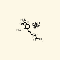 C[C@H](C(N)=O)[N+](C)(C)C/C=C/C1=C(C(=O)O)N2C(=O)[C@@H](N)[C@H]2SC1.[O-][Cl+3]([O-])([O-])O